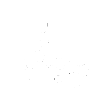 Fc1ccc(-c2cc(Nc3ccc4c(c3)C3(c5ccccc5O4)c4ccccc4-c4ccccc43)c3c(c2)sc2ccccc23)cc1